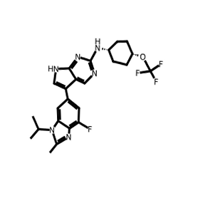 Cc1nc2c(F)cc(-c3c[nH]c4nc(N[C@H]5CC[C@@H](OC(F)(F)F)CC5)ncc34)cc2n1C(C)C